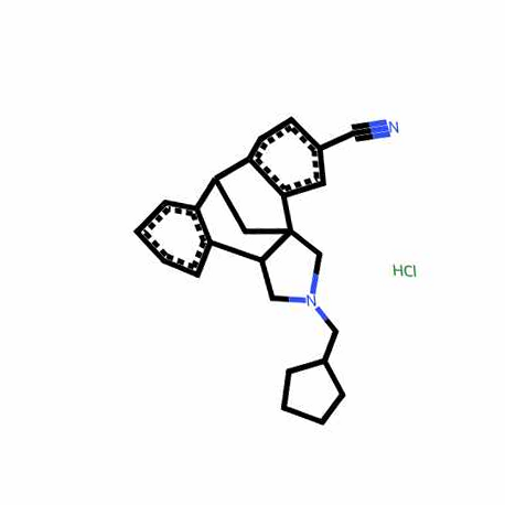 Cl.N#Cc1ccc2c(c1)C13CC2c2ccccc2C1CN(CC1CCCC1)C3